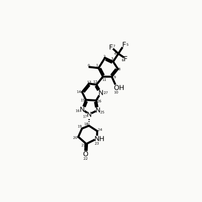 Cc1cc(C(F)(F)F)cc(O)c1-c1ccc2nn([C@H]3CCC(=O)NC3)nc2n1